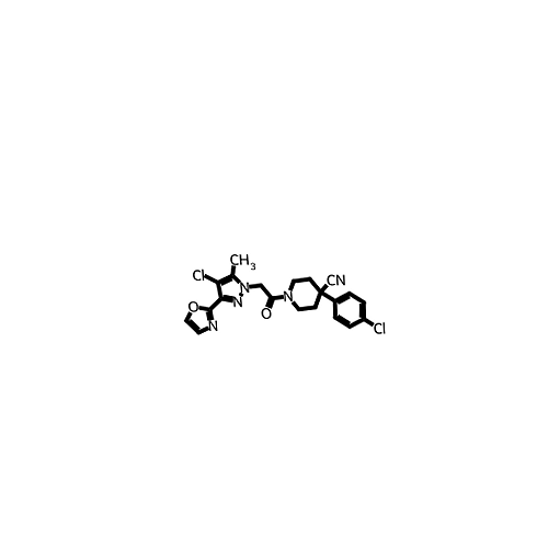 Cc1c(Cl)c(-c2ncco2)nn1CC(=O)N1CCC(C#N)(c2ccc(Cl)cc2)CC1